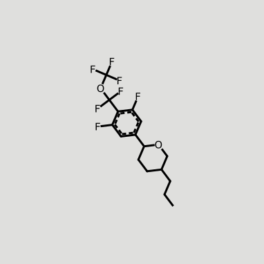 CCCC1CCC(c2cc(F)c(C(F)(F)OC(F)(F)F)c(F)c2)OC1